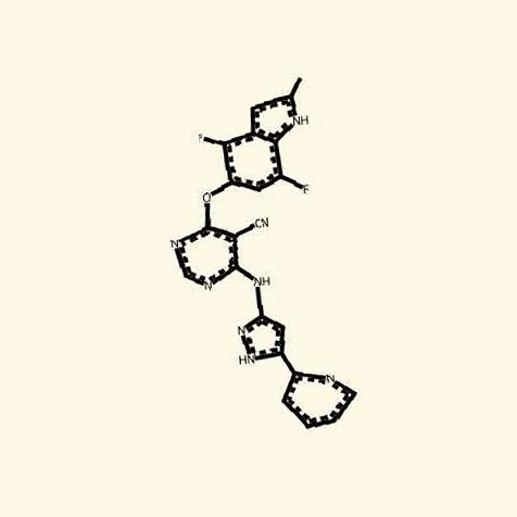 Cc1cc2c(F)c(Oc3ncnc(Nc4cc(-c5ccccn5)[nH]n4)c3C#N)cc(F)c2[nH]1